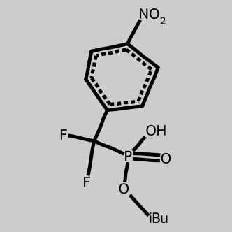 CCC(C)OP(=O)(O)C(F)(F)c1ccc([N+](=O)[O-])cc1